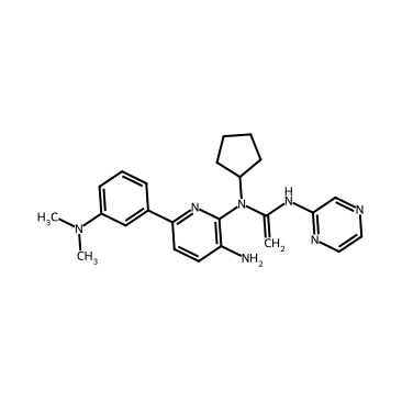 C=C(Nc1cnccn1)N(c1nc(-c2cccc(N(C)C)c2)ccc1N)C1CCCC1